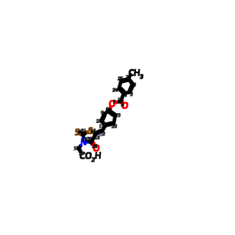 Cc1ccc(C(=O)Oc2ccc(/C=C3\SC(=S)N(CC(=O)O)C3=O)cc2)cc1